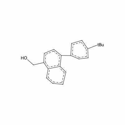 CC(C)(C)c1ccc(-c2ccc(CO)c3ccccc23)cc1